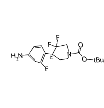 CC(C)(C)OC(=O)N1CC[C@@H](c2ccc(N)cc2F)C(F)(F)C1